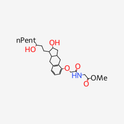 CCCCCC(O)CCC1C(O)CC2Cc3c(cccc3OCC(=O)NCC(=O)OC)CC21